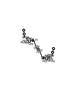 CC(=O)N[C@H]1[C@H]([C@H](O)[C@H](O)CNC(=O)c2ccc(-c3ccccc3)cc2)O[C@](C(=O)O)(n2ccc(CCCCNC(=O)c3ccc(C(=O)NCCCCc4cn([C@]5(C(=O)O)C[C@H](O)[C@@H](NC(C)=O)[C@H]([C@H](O)[C@H](O)CNC(=O)c6ccc(-c7ccccc7)cc6)O5)nn4)cc3)c2)C[C@@H]1O